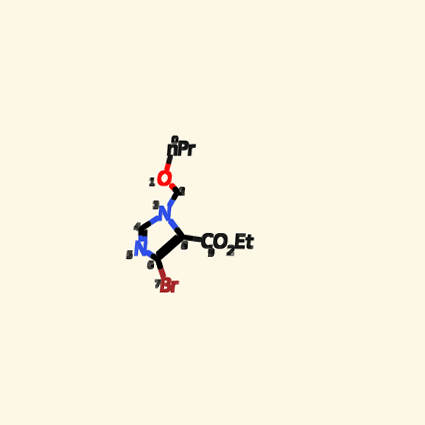 CCCOCn1cnc(Br)c1C(=O)OCC